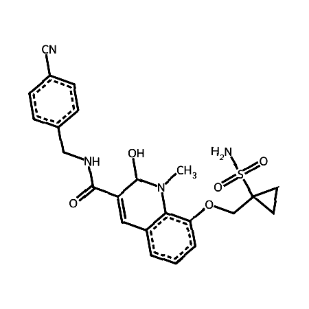 CN1c2c(cccc2OCC2(S(N)(=O)=O)CC2)C=C(C(=O)NCc2ccc(C#N)cc2)C1O